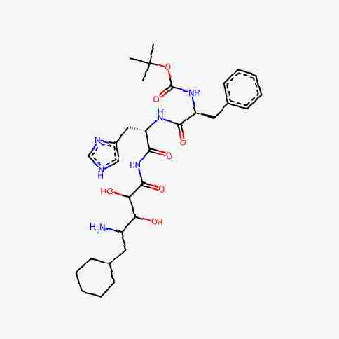 CC(C)(C)OC(=O)N[C@@H](Cc1ccccc1)C(=O)N[C@@H](Cc1c[nH]cn1)C(=O)NC(=O)C(O)C(O)C(N)CC1CCCCC1